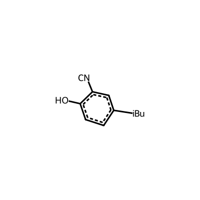 [C-]#[N+]c1cc(C(C)CC)ccc1O